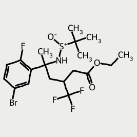 CCOC(=O)CC(CC(C)(N[S+]([O-])C(C)(C)C)c1cc(Br)ccc1F)C(F)(F)F